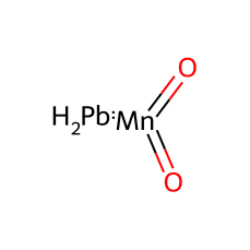 [O]=[Mn]=[O].[PbH2]